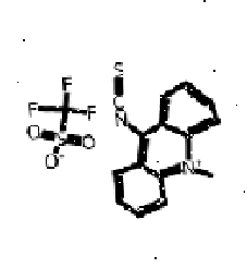 C[n+]1c2ccccc2c(N=C=S)c2ccccc21.O=S(=O)([O-])C(F)(F)F